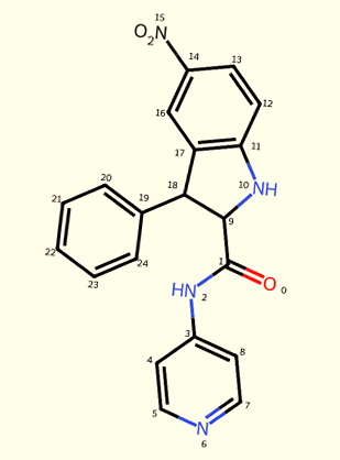 O=C(Nc1ccncc1)C1Nc2ccc([N+](=O)[O-])cc2C1c1ccccc1